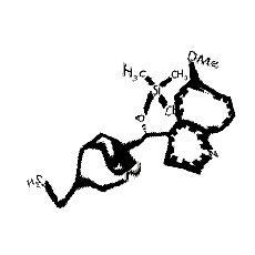 C=CC1CN2CCC1CC2[C@H](O[Si](C)(C)C)c1ccnc2ccc(OC)cc12